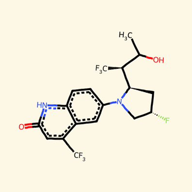 CC(O)[C@@H]([C@H]1C[C@H](F)CN1c1ccc2[nH]c(=O)cc(C(F)(F)F)c2c1)C(F)(F)F